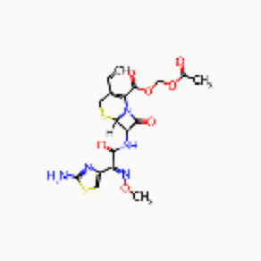 C=CC1=C(C(=O)OCOC(C)=O)N2C(=O)C(NC(=O)C(=NOC)c3csc(N)n3)[C@@H]2SC1